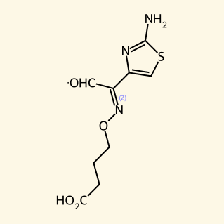 Nc1nc(/C([C]=O)=N/OCCCC(=O)O)cs1